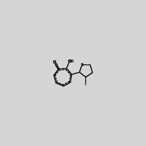 CC1CCSC1c1ccccc(=O)c1O